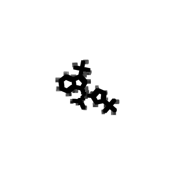 C[Si](C)=[Zr]([C]1=CC=C(C(C)(C)C)C1)[CH]1C=C(C(C)(C)C)c2ccccc21